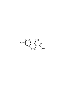 COC(=O)C1=C(O)c2cnc(Cl)cc2CC1